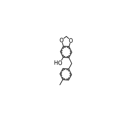 Cc1ccc(Cc2cc3c(cc2O)OCO3)cc1